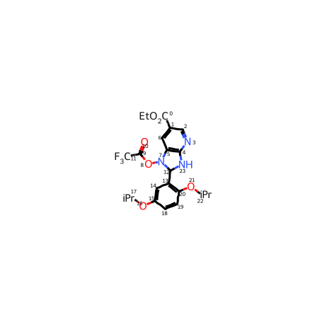 CCOC(=O)c1cnc2c(c1)N(OC(=O)C(F)(F)F)C(c1cc(OC(C)C)ccc1OC(C)C)N2